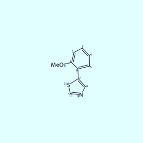 COc1ccccc1-c1cn[c]s1